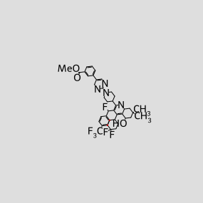 COC(=O)c1cccc(-c2cnc(N3CCC(c4nc5c(c(C6CCC(F)(F)CC6)c4C(F)c4ccc(C(F)(F)F)cc4)C(O)CC(C)(C)C5)CC3)nc2)c1